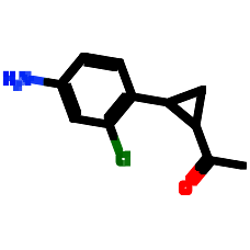 CC(=O)C1CC1c1ccc(N)cc1Cl